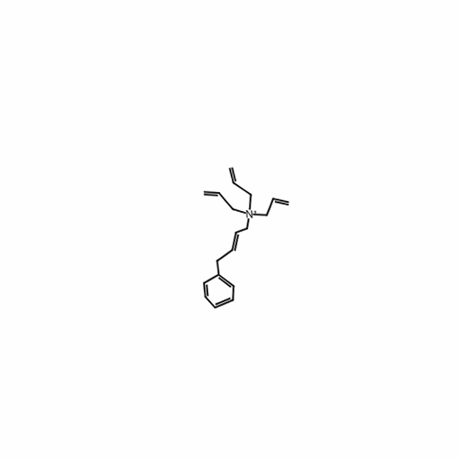 C=CC[N+](CC=C)(CC=C)CC=CCc1ccccc1